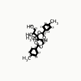 Cc1ccc(C2OC[C@@H]3OC(c4ccc(C)cc4)O[C@](C)([C@H](O)CO)[C@@H]3O2)cc1